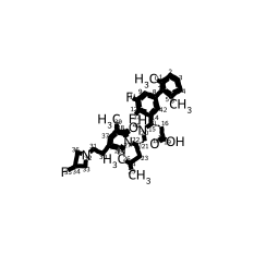 Cc1cccc(C)c1-c1cc(F)c(F)c([C@H](CC(=O)O)NC[C@H](CC(C)C)n2nc(CCN3CC(F)C3)cc(C)c2=O)c1